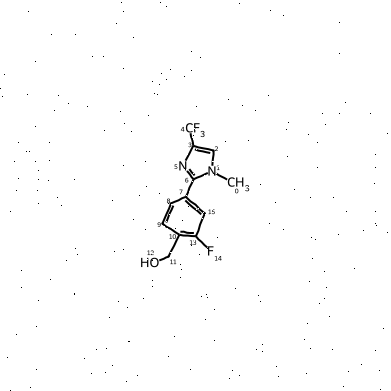 Cn1cc(C(F)(F)F)nc1-c1ccc(CO)c(F)c1